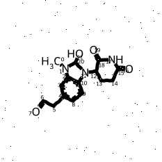 CN1c2cc(CC=O)ccc2N(C2CCC(=O)NC2=O)C1O